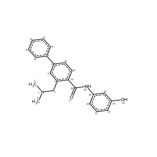 CN(C)Cc1cc(-c2ccccc2)ccc1C(=O)Nc1cccc(O)c1